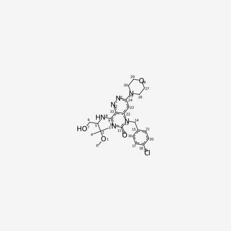 COC(C)(C)C(CO)Nc1nc(=O)n(Cc2ccc(Cl)cc2)c2cc(N3CCOCC3)nnc12